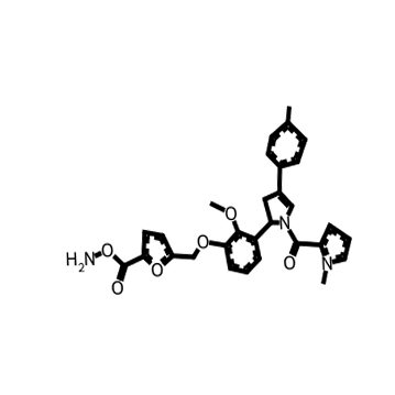 COc1c(OCc2ccc(C(=O)ON)o2)cccc1C1CC(c2ccc(C)cc2)=CN1C(=O)c1cccn1C